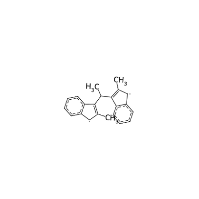 CC1=C(C(C)C2=C(C)[CH]c3ccccc32)c2ccccc2[CH]1